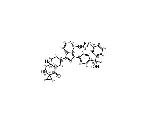 C[C@@](O)(c1ccc(-c2nc([C@@H]3CC[C@H]4CNC5(CC5)C(=O)N4C3)n3ccnc(N)c23)cc1)c1cccc(C(F)(F)F)c1